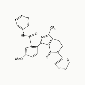 COc1ccc(-n2nc(C(F)(F)F)c3c2C(=O)N(c2ccccc2)CC3)c(C(=O)Nc2cccnc2)c1